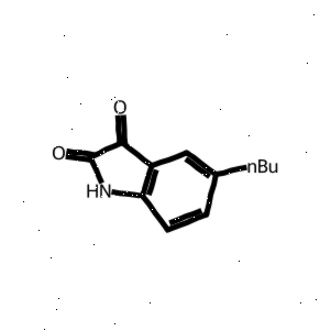 CCCCc1ccc2c(c1)C(=O)C(=O)N2